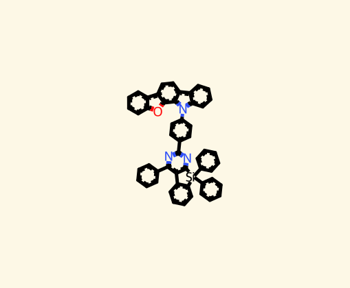 c1ccc(-c2nc(-c3ccc(-n4c5ccccc5c5ccc6c7ccccc7oc6c54)cc3)nc3c2-c2ccccc2[Si]3(c2ccccc2)c2ccccc2)cc1